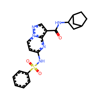 O=C(NC1CC2CCC1C2)c1cnn2ccc(NS(=O)(=O)c3ccccc3)nc12